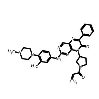 C=CC(=O)N1CCC(n2c(=O)c(-c3ccccc3)nc3cnc(Nc4ccc(N5CCN(C)CC5)c(C)c4)nc32)C1